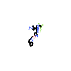 FC(F)C(F)n1cc(-c2ccncc2)c(-c2ccc(OCc3ccc4ccccc4n3)nc2)n1